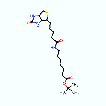 CC(C)(C)OC(=O)CCCCCCNC(=O)CCCC[C@@H]1SCC2NC(=O)NC21